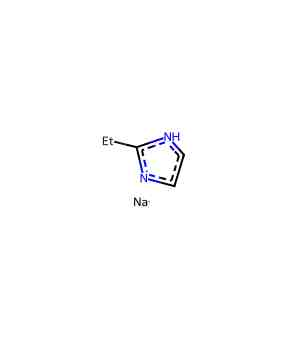 CCc1ncc[nH]1.[Na]